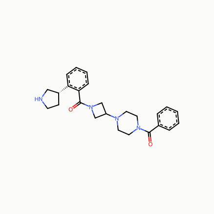 O=C(c1ccccc1)N1CCN(C2CN(C(=O)c3ccccc3[C@@H]3CCNC3)C2)CC1